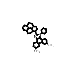 Cc1ccc2c(c1)c1cc(C)ccc1c1c2nc(-c2ccc3ccc4cccc5ccc2c3c45)n1-c1ccccc1